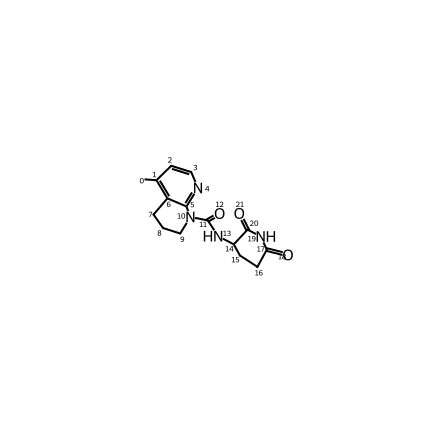 Cc1ccnc2c1CCCN2C(=O)NC1CCC(=O)NC1=O